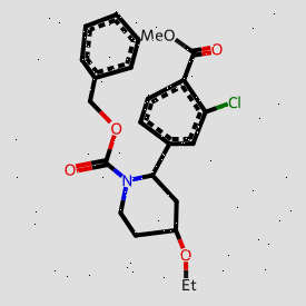 CCOC1CCN(C(=O)OCc2ccccc2)C(c2ccc(C(=O)OC)c(Cl)c2)C1